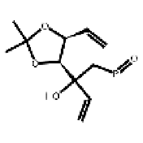 C=C[C@@H]1OC(C)(C)O[C@@H]1C(O)(C=C)CP=O